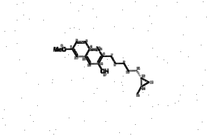 COc1ccc2nc(CCCCC[C@@H]3CC3C)c(O)cc2c1